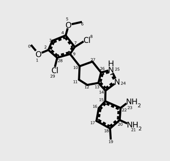 COc1cc(OC)c(Cl)c(C2CCc3c(-c4ccc(C)c(N)c4N)n[nH]c3C2)c1Cl